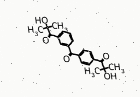 CC(C)(O)C(=O)c1ccc(C(=O)c2cccc(C(=O)C(C)(C)O)c2)cc1